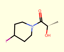 C[C@H](O)C(=O)N1CCC(I)CC1